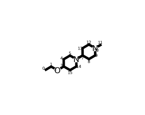 CCOC1CCN(C2CCN(C)CC2)CC1